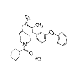 CCN(CC1CCN(C(=O)C2CCCCC2)CC1)C(C)Cc1cccc(Oc2ccccc2)c1.Cl